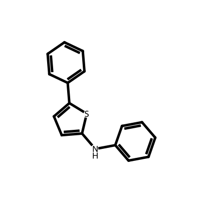 c1ccc(Nc2ccc(-c3ccccc3)s2)cc1